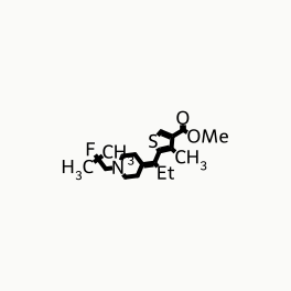 CCC(=C1CCN(CC(C)(C)F)CC1)c1scc(C(=O)OC)c1C